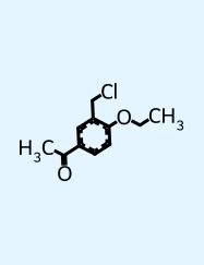 CCOc1ccc(C(C)=O)cc1CCl